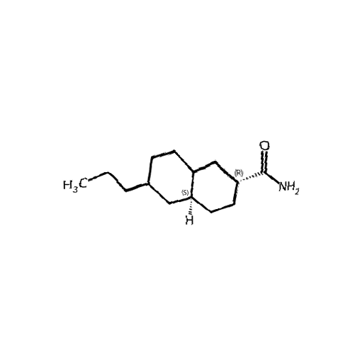 CCCC1CCC2C[C@H](C(N)=O)CC[C@H]2C1